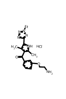 CCn1nnc(-c2[nH]c(C)c(C(=O)c3cccc(OCCN)c3)c2C)n1.Cl